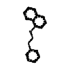 c1ccc(CCOc2cccc3ccccc23)cc1